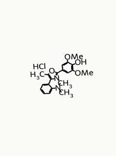 COc1cc(-c2nc(-c3ccccc3N(C)C)c(C)o2)cc(OC)c1O.Cl